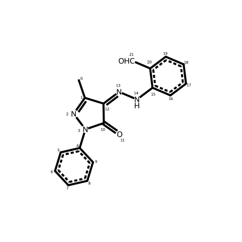 CC1=NN(c2ccccc2)C(=O)/C1=N\Nc1ccccc1C=O